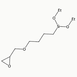 CCO[Si](CCCCOCC1CO1)OCC